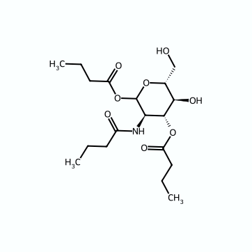 CCCC(=O)N[C@H]1C(OC(=O)CCC)O[C@H](CO)[C@@H](O)[C@@H]1OC(=O)CCC